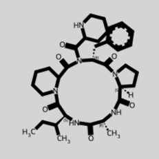 CCC(C)[C@@H]1NC(=O)[C@@H](C)NC(=O)[C@@H]2CCCN2C(=O)[C@@H](Cc2ccccc2)N(C(=O)C2CCCCN2)C(=O)C2CCCCN2C1=O